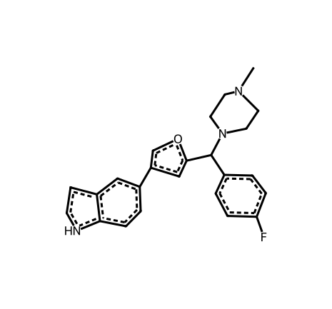 CN1CCN(C(c2ccc(F)cc2)c2cc(-c3ccc4[nH]ccc4c3)co2)CC1